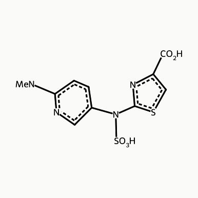 CNc1ccc(N(c2nc(C(=O)O)cs2)S(=O)(=O)O)cn1